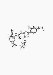 C=C(C)[C@H]1CC[C@@](C)(S)[C@H](O[PH](=S)O[C@H]2C[C@H](n3ccc(N)nc3=O)O[C@@H]2CO[Si](C)(C)C(C)(C)C)C1